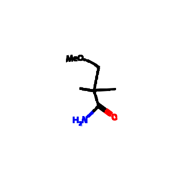 COCC(C)(C)C(N)=O